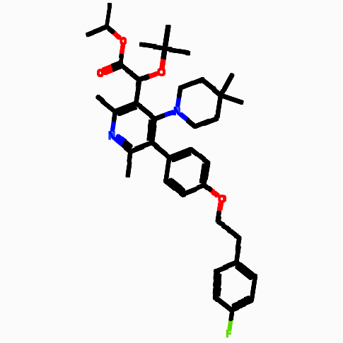 Cc1nc(C)c(C(OC(C)(C)C)C(=O)OC(C)C)c(N2CCC(C)(C)CC2)c1-c1ccc(OCCc2ccc(F)cc2)cc1